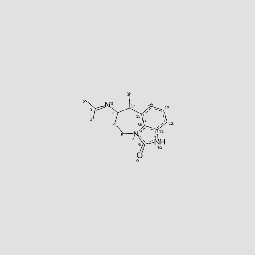 CC(C)=NC1CCn2c(=O)[nH]c3cccc(c32)C1C